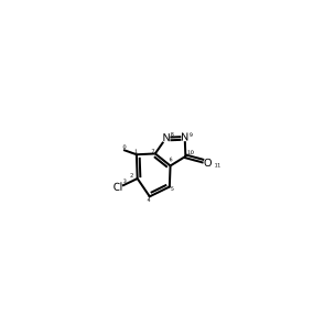 Cc1c(Cl)ccc2c1N=NC2=O